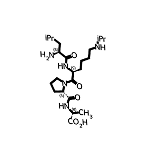 CC(C)C[C@H](N)C(=O)N[C@@H](CCCCNC(C)C)C(=O)N1CCC[C@H]1C(=O)N[C@H](C)C(=O)O